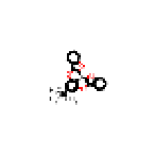 CC(C)(C)c1cc2c3c(c1)Oc1c(oc4c1CCCC4)B3c1oc3c(c1O2)CCCC3